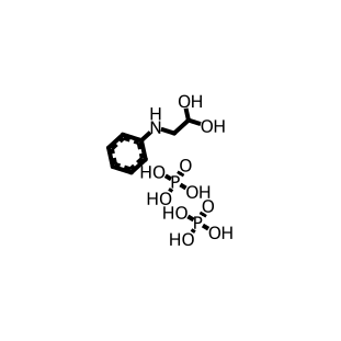 O=P(O)(O)O.O=P(O)(O)O.OC(O)CNc1ccccc1